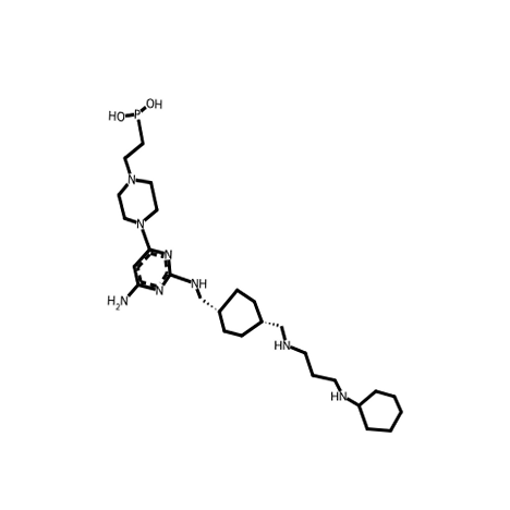 Nc1cc(N2CCN(CCP(O)O)CC2)nc(NC[C@H]2CC[C@@H](CNCCCNC3CCCCC3)CC2)n1